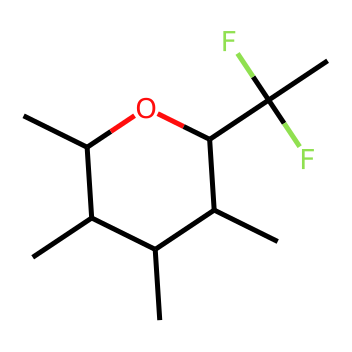 CC1OC(C(C)(F)F)C(C)C(C)C1C